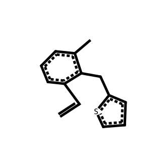 C=Cc1cccc(C)c1Cc1cccs1